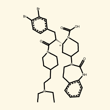 CCN(CC)CCC1CCN(C(=O)C(Cc2ccc(Br)c(Br)c2)[C@H]2CC(N3CCc4ccccc4NC3=O)CCN2C(=O)O)CC1